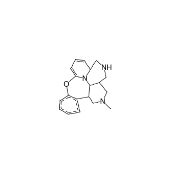 CN1CC2CNCC3C=CC=C4Oc5ccccc5C(C1)C2N43